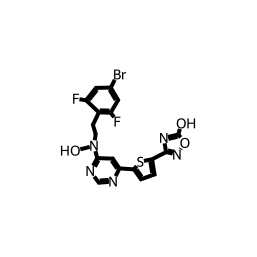 Oc1nc(-c2ccc(-c3cc(N(O)CCc4c(F)cc(Br)cc4F)ncn3)s2)no1